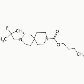 CCCCOC(=O)N1CCC2(CCN(CC(C)(C)F)CC2)CC1